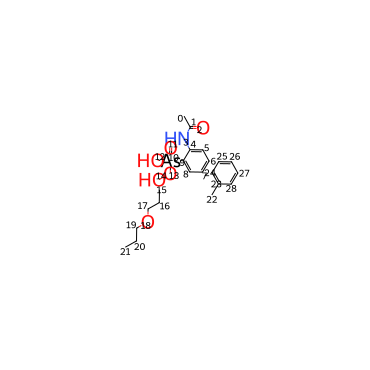 CC(=O)Nc1ccccc1[As](=O)(O)OO.CCCOCCC.Cc1ccccc1